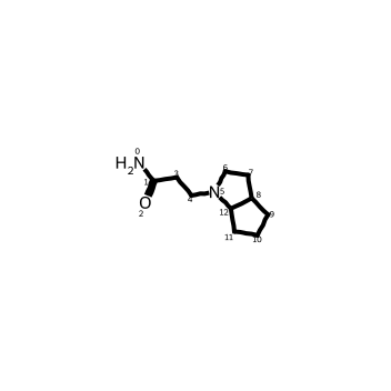 NC(=O)CCN1CCC2CCCC21